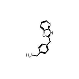 NCc1ccc(Cc2nc3ncccc3o2)cc1